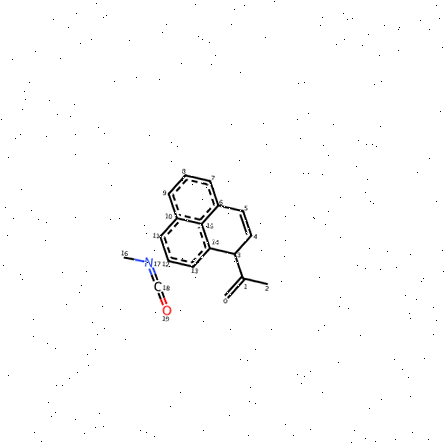 C=C(C)C1C=Cc2cccc3cccc1c23.CN=C=O